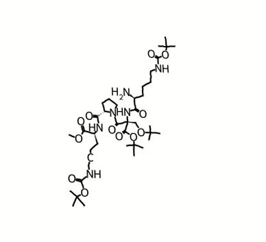 COC(=O)[C@H](CCCCNC(=O)OC(C)(C)C)NC(=O)[C@@H]1CCCN1C(=O)[C@](COC(C)(C)C)(NC(=O)[C@@H](N)CCCCNC(=O)OC(C)(C)C)C(=O)OC(C)(C)C